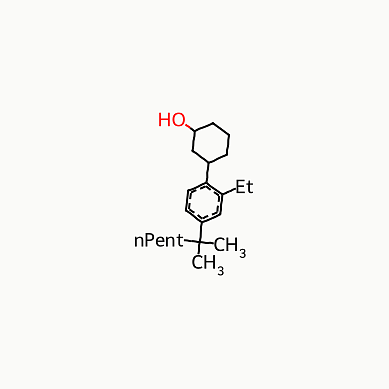 CCCCCC(C)(C)c1ccc(C2CCCC(O)C2)c(CC)c1